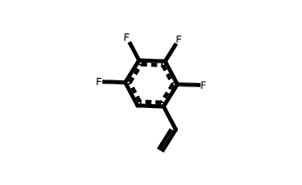 C=Cc1cc(F)c(F)c(F)c1F